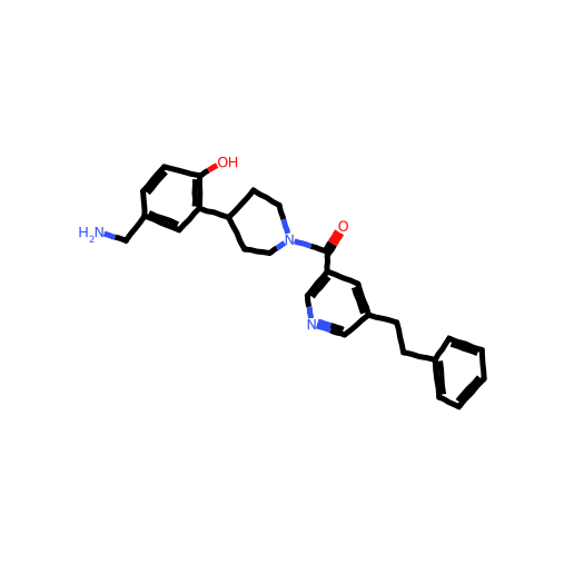 NCc1ccc(O)c(C2CCN(C(=O)c3cncc(CCc4ccccc4)c3)CC2)c1